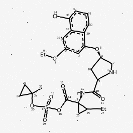 CCOc1cc(O[C@H]2CNC(C(=O)N[C@]3(C(=O)OS(=O)(=O)OC4(C)CC4)CC3CC)C2)c2cccc(Cl)c2n1